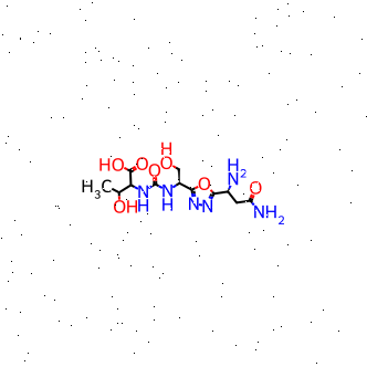 CC(O)C(NC(=O)N[C@@H](CO)c1nnc([C@@H](N)CC(N)=O)o1)C(=O)O